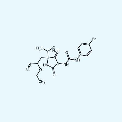 CCOC(C=O)CC1(C(C)C)NC(=O)N(NC(=O)Nc2ccc(Br)cc2)C1=O